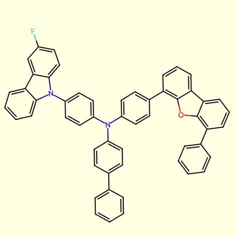 Fc1ccc2c(c1)c1ccccc1n2-c1ccc(N(c2ccc(-c3ccccc3)cc2)c2ccc(-c3cccc4c3oc3c(-c5ccccc5)cccc34)cc2)cc1